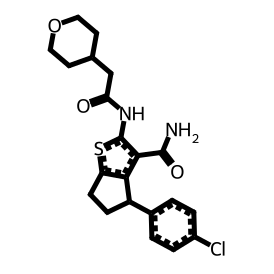 NC(=O)c1c(NC(=O)CC2CCOCC2)sc2c1C(c1ccc(Cl)cc1)CC2